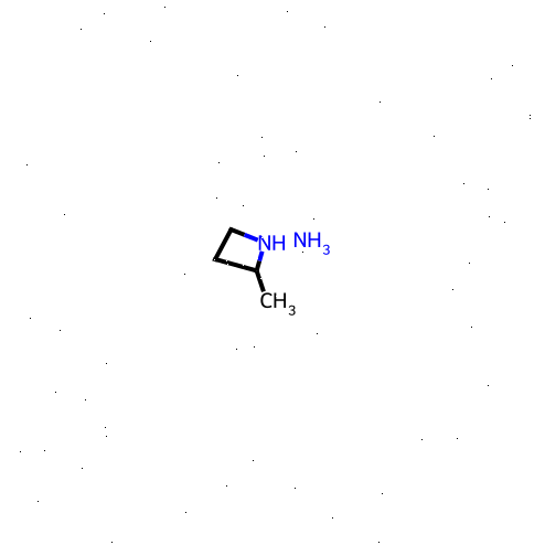 CC1CCN1.N